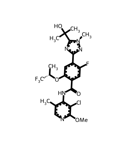 COc1ncc(C)c(NC(=O)c2cc(F)c(-c3nc(C(C)(C)O)n(C)n3)cc2O[C@@H](C)C(F)(F)F)c1Cl